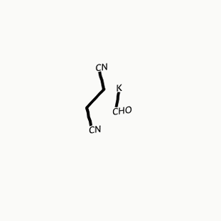 N#CCCC#N.O=[CH][K]